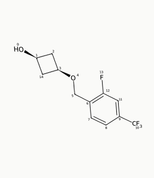 O[C@H]1C[C@@H](OCc2ccc(C(F)(F)F)cc2F)C1